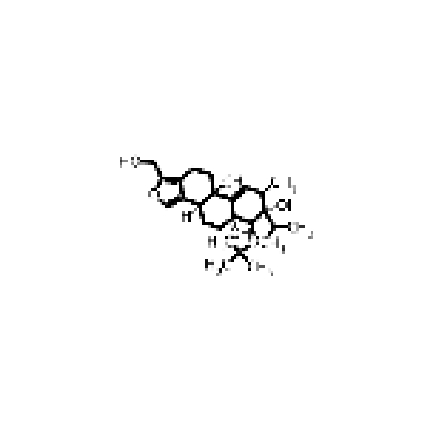 CC(C)[C@]1(O)[C@H](C)C=C2[C@@]3(C)CCc4c(coc4CO)[C@@H]3CC[C@@]2(O)[C@@H]1OC(C)(C)C